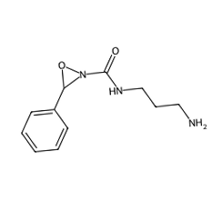 NCCCNC(=O)N1OC1c1ccccc1